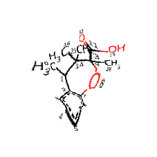 CC1c2ccccc2OC(C)(C(=O)O)C1(C)C